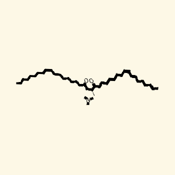 CCCCCCCC/C=C\CCCCCCCC(=O)C[C@@H](C)C(=O)CCCCCCC/C=C\CCCCCCCC.CN(C)C